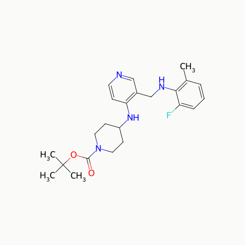 Cc1cccc(F)c1NCc1cnccc1NC1CCN(C(=O)OC(C)(C)C)CC1